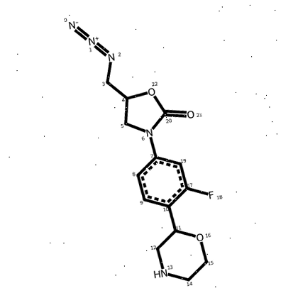 [N-]=[N+]=NCC1CN(c2ccc(C3CNCCO3)c(F)c2)C(=O)O1